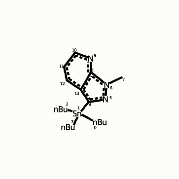 CCC[CH2][Sn]([CH2]CCC)([CH2]CCC)[c]1nn(C)c2ncccc12